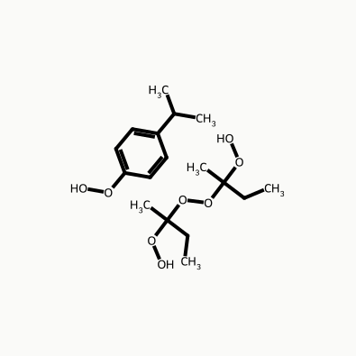 CC(C)c1ccc(OO)cc1.CCC(C)(OO)OOC(C)(CC)OO